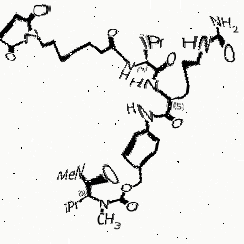 CNC(=O)[C@H](C(C)C)N(C)C(=O)OCc1ccc(NC(=O)[C@H](CCCNC(N)=O)NC(=O)[C@@H](NC(=O)CCCCCN2C(=O)C=CC2=O)C(C)C)cc1